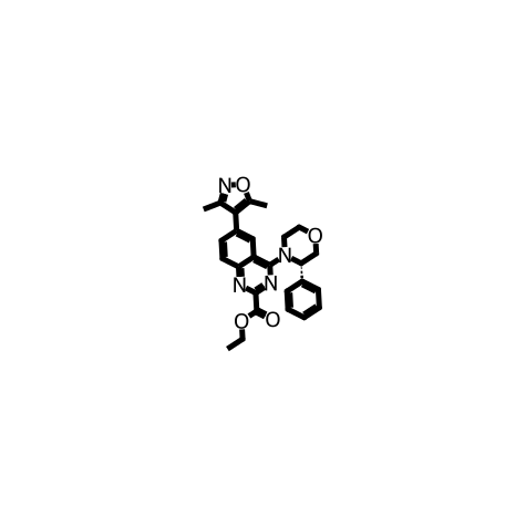 CCOC(=O)c1nc(N2CCOC[C@@H]2c2ccccc2)c2cc(-c3c(C)noc3C)ccc2n1